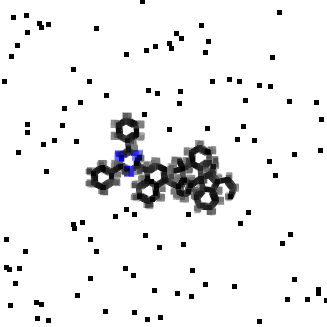 C/C=C\C1=C(C)C2(c3ccccc31)c1ccccc1C(C)(C)c1c(-c3ccc(-c4nc(-c5ccccc5)nc(-c5ccccc5)n4)c4ccccc34)cccc12